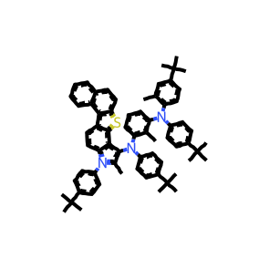 Cc1cc(C(C)(C)C)ccc1N(c1ccc(C(C)(C)C)cc1)c1cccc(N(c2ccc(C(C)(C)C)cc2)c2c(C)n(-c3ccc(C(C)(C)C)cc3)c3ccc4c(sc5ccc6ccccc6c54)c23)c1C